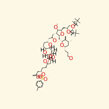 C=C(Br)C[C@@H](CC[C@]12C[C@H]3O[C@H]4[C@@H](O1)[C@H]1O[C@@H](CC(=O)C[C@@H]5[C@@H](OC)[C@@H](C[C@@H](CO[Si](C)(C)C(C)(C)C)O[Si](C)(C)C(C)(C)C)O[C@H]5C[C@H]5O[C@@H](CCC=O)C[C@@H](C)C5=C)CC[C@@H]1O[C@H]4[C@H]3O2)OS(=O)(=O)c1ccc(C)cc1